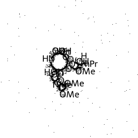 CCCNC[C@]1(O)[C@H](C)O[C@@H](O[C@H]2[C@H](C)[C@@H](O[C@@H]3O[C@H](C)C[C@H](NC)[C@H]3Oc3ccc(OC)cc3OC)[C@](C)(O)C[C@@H](C)CN[C@H](C)[C@@H](O)[C@](C)(O)[C@@H](CC)OC(=O)[C@@H]2C)C[C@@]1(C)OC